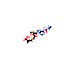 CCNC(=O)Nc1ncnc2c1ncn2C1OC(COCC2CC2C(=O)O)C2OCOC21